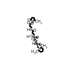 C=C1CCC(=O)N1OC(=O)CCNC(=O)CC[15NH][13C](=O)[13CH2][13CH2]N[13C](=O)CN1C(C)CCCC1C